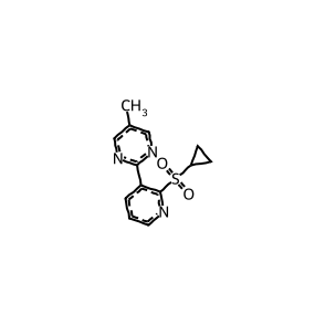 Cc1cnc(-c2cccnc2S(=O)(=O)C2CC2)nc1